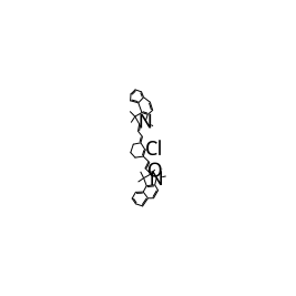 COC1(/C=C/C2=C(Cl)C(=C/C=C3\N(C)c4ccc5ccccc5c4C3(C)C)/CCC2)N(C)c2ccc3ccccc3c2C1(C)C